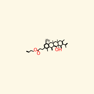 C=CCCOC(=O)CCc1cc(C(C)C)c2c(c1C)C(=C)C1=C(O)[C@@]3(C)C(=C)C(C(=C)C)=C(C)C[C@@]3(C)C[C@@]1(C)C2